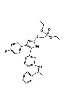 CCOP(=O)(CSc1nc(-c2ccc(F)cc2)c(-c2ccnc(NC(C)c3ccccc3)c2)[nH]1)OCC